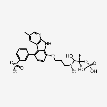 CCN(CCCOc1ccc(-c2cccc(S(=O)(=O)CC)c2)c2c1[nH]c1ncc(C)cc12)C(O)C(F)(F)OP(=O)(O)O